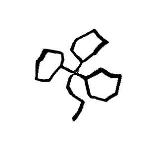 CCC[Si](C1CCCCC1)(C1CCCCC1)C1CCCCC1